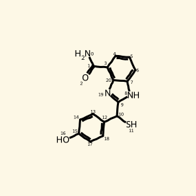 NC(=O)c1cccc2[nH]c(C(S)c3ccc(O)cc3)nc12